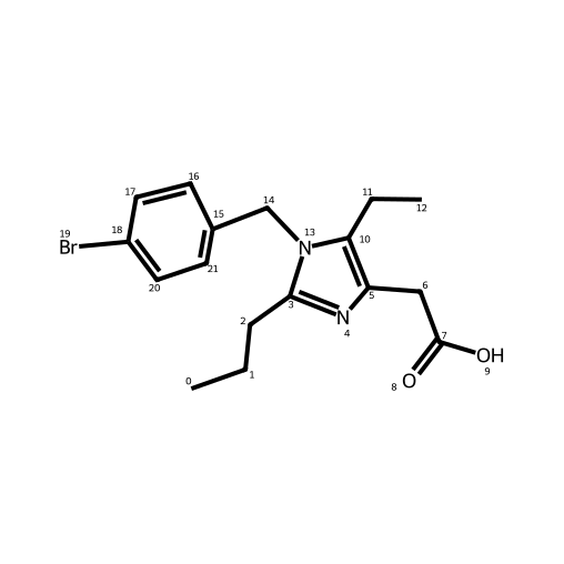 CCCc1nc(CC(=O)O)c(CC)n1Cc1ccc(Br)cc1